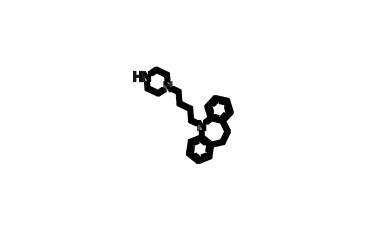 c1ccc2c(c1)CCc1ccccc1N2CCCCN1CCNCC1